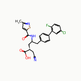 Cc1cc(C(=O)NC(Cc2ccc(-c3cc(Cl)ccc3F)cc2)C[C@@H](CC#N)C(=O)O)sn1